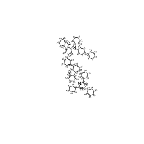 c1ccc(-c2ccc3c(c2)c2ccccc2n3-c2cc(-c3cccc(-c4ccc(-c5cccc(-c6nc(-c7ccccc7)nc(-c7ccccc7)n6)c5)c5c4oc4ccccc45)c3)cc3c2oc2ccccc23)cc1